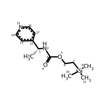 C[C@@H](NC(=O)OCC[Si](C)(C)C)c1ccncc1